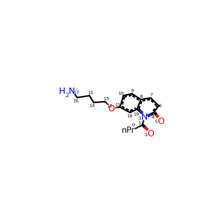 CCCC(=O)n1c(=O)ccc2ccc(OCCCCN)cc21